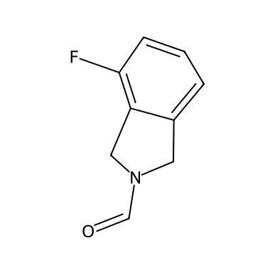 O=CN1Cc2cccc(F)c2C1